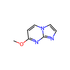 COc1ccn2ccnc2n1